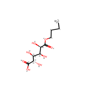 CCCCOC(=O)[C@H](O)[C@@H](O)[C@H](O)[C@H](O)C(=O)O